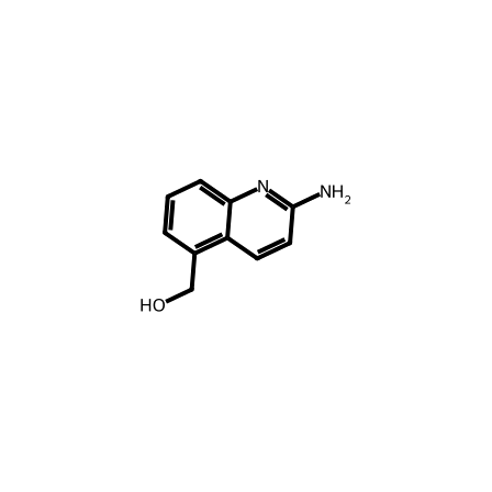 Nc1ccc2c(CO)cccc2n1